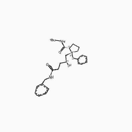 CC(C)(C)NC(=O)[C@@H]1CCC[N@+]1(C[C@@H](O)CCC(=O)NCc1ccccc1)Oc1ccccc1